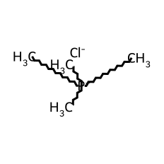 CCCCCCCCCCCCCC[P+](CCCCCC)(CCCCCC)CCCCCCCCCCCCCC.[Cl-]